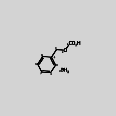 B.O=C(O)OCc1ccccc1